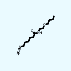 CCCCOCCNC(=O)CCCCCN=[N+]=[N-]